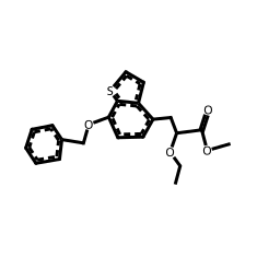 CCOC(Cc1ccc(OCc2ccccc2)c2sccc12)C(=O)OC